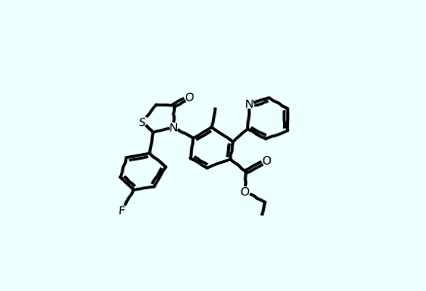 CCOC(=O)c1ccc(N2C(=O)CSC2c2ccc(F)cc2)c(C)c1-c1ccccn1